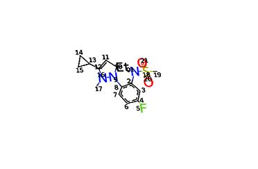 CCN(c1cc(F)ccc1N1CC=C(C2CC2)N1C)S(C)(=O)=O